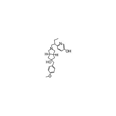 CCC(CN1C[C@@H]2C[C@@](O)(Cc3ccc(OC)cc3)C[C@@H]2C1)c1ccc(O)cn1